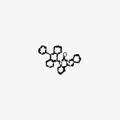 O=c1n(-c2c3ccccc3c(-c3ccccc3)c3ccccc23)c2ccccc2c2cc3ccccc3n12